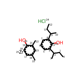 CCC(C)c1cccc(C(C)CC)c1O.Cc1ccc(O)c(C)c1.Cl.[Zr]